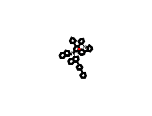 c1ccc(-c2ccc(-c3ccc(N(c4ccc(-c5ccccc5-n5c6ccccc6c6ccccc65)c(-c5ccccc5)c4)c4ccc5ccccc5c4)c4ccccc34)cc2)cc1